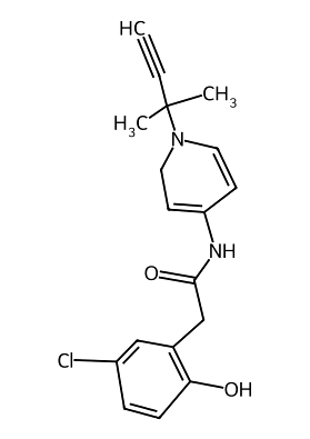 C#CC(C)(C)N1C=CC(NC(=O)Cc2cc(Cl)ccc2O)=CC1